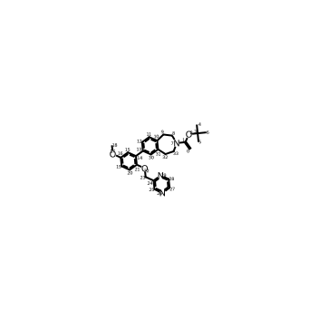 C=C(OC(C)(C)C)N1CCc2ccc(-c3cc(OC)ccc3OCc3cnccn3)cc2CC1